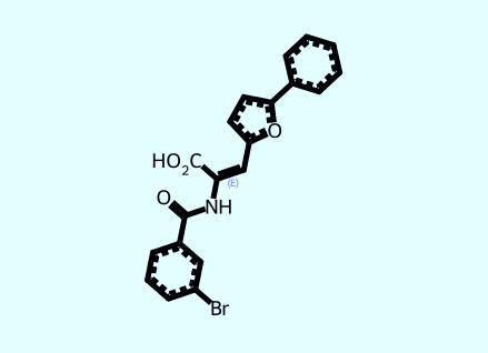 O=C(O)/C(=C\c1ccc(-c2ccccc2)o1)NC(=O)c1cccc(Br)c1